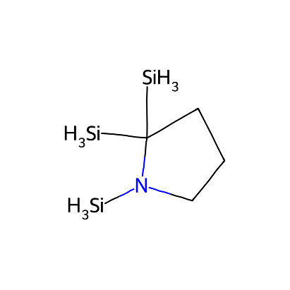 [SiH3]N1CCCC1([SiH3])[SiH3]